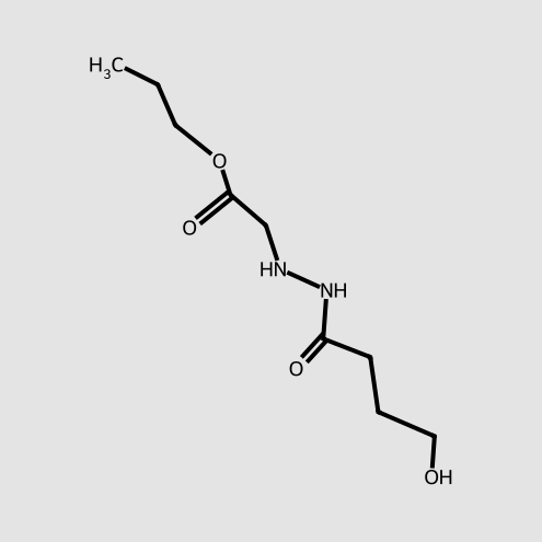 CCCOC(=O)CNNC(=O)CCCO